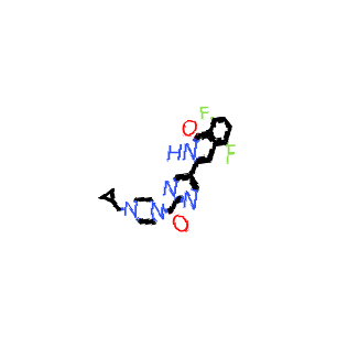 O=C(c1ncc(-c2cc3c(F)ccc(F)c3c(=O)[nH]2)cn1)N1CCN(CC2CC2)CC1